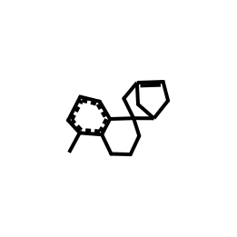 Cc1cccc2c1CCCC21CC2=CCC1C2